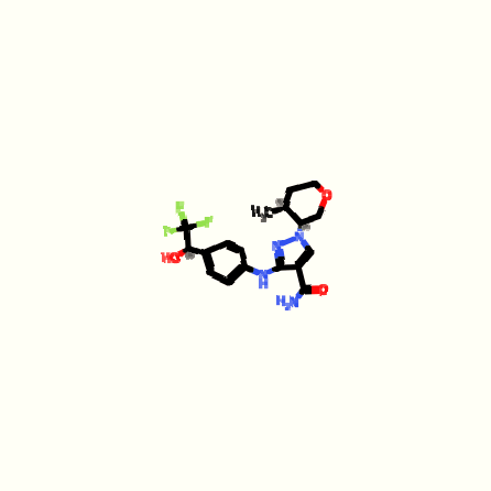 C[C@H]1CCOC[C@@H]1n1cc(C(N)=O)c(Nc2ccc([C@@H](O)C(F)(F)F)cc2)n1